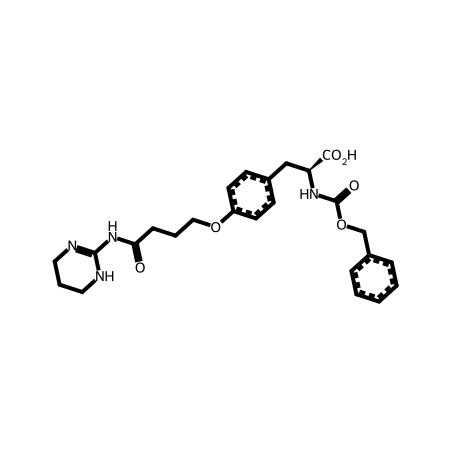 O=C(CCCOc1ccc(C[C@H](NC(=O)OCc2ccccc2)C(=O)O)cc1)NC1=NCCCN1